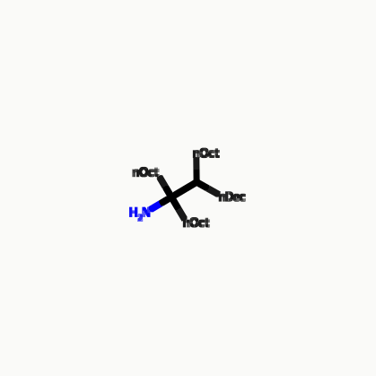 CCCCCCCCCCC(CCCCCCCC)C(N)(CCCCCCCC)CCCCCCCC